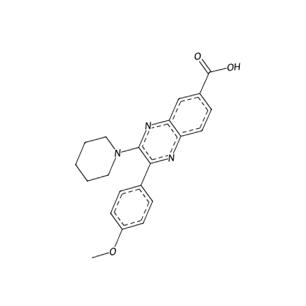 COc1ccc(-c2nc3ccc(C(=O)O)cc3nc2N2CCCCC2)cc1